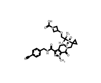 Cn1nc(C(=O)NCc2ccc(C#N)cc2)c2c1C(=O)N(CC1(S(=O)(=O)C(C)(C)COC3CN(C(=O)O)C3)CC1)CC2